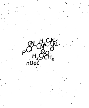 CCCCCCCCCCCCC(C)(C)C(=O)OC[N+]1(CCc2c(C)nc3n(c2=O)CCCC3)CCC(c2noc3cc(F)ccc23)CC1